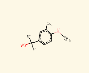 CBc1ccc(C(O)(CC)CC)cc1C